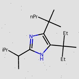 CCCC(C)(C)c1nc(C(C)C(C)C)[nH]c1C(C)(CC)CC